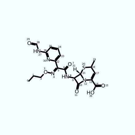 CCCON=C(C(=O)NC1C(=O)N2C(C(=O)O)=CC(C)S[C@@H]12)c1cccc(NC=O)n1